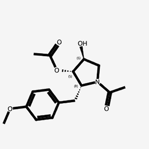 COc1ccc(C[C@@H]2[C@H](OC(C)=O)[C@@H](O)CN2C(C)=O)cc1